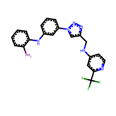 FC(F)(F)c1cc(NCc2cn(-c3cccc(Nc4ccccc4P)c3)nn2)ccn1